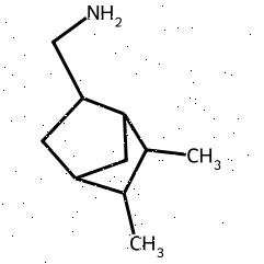 CC1C2CC(CN)C(C2)C1C